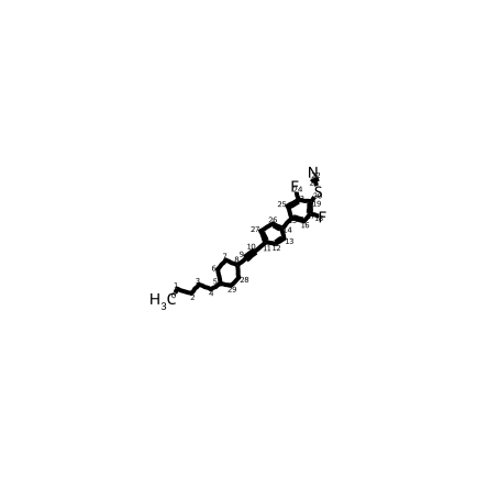 CCCCCC1CCC(C#Cc2ccc(-c3cc(F)c(SC#N)c(F)c3)cc2)CC1